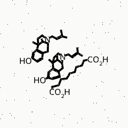 CC(C)=CCN1CCC2(C)c3cc(O)ccc3CC1C2C.CC(C)=CCN1CCC2(C)c3cc(O)ccc3CC1C2C.O=C(O)CCCCCCCCCC(=O)O